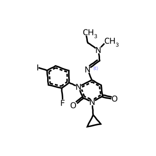 CCN(C)/C=N/c1cc(=O)n(C2CC2)c(=O)n1-c1ccc(I)cc1F